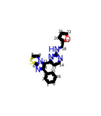 c1ccc(-c2nc3sccn3c2-c2ccnc(NCc3ccco3)n2)cc1